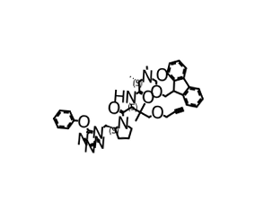 C#CCOCC(C)(C)[C@H](NC(=O)[C@H](C)N(C)C(=O)OCC1c2ccccc2-c2ccccc21)C(=O)N1CCC[C@H]1Cn1nnnc1Oc1ccccc1